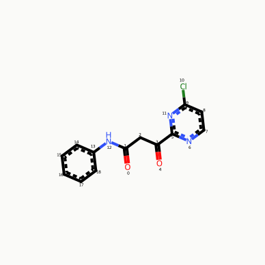 O=C(CC(=O)c1nccc(Cl)n1)Nc1ccccc1